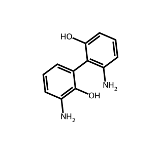 Nc1cccc(-c2c(N)cccc2O)c1O